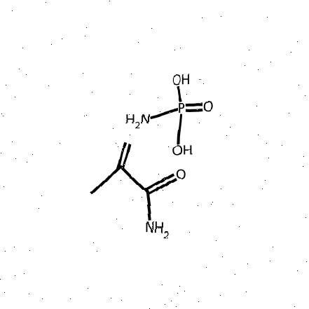 C=C(C)C(N)=O.NP(=O)(O)O